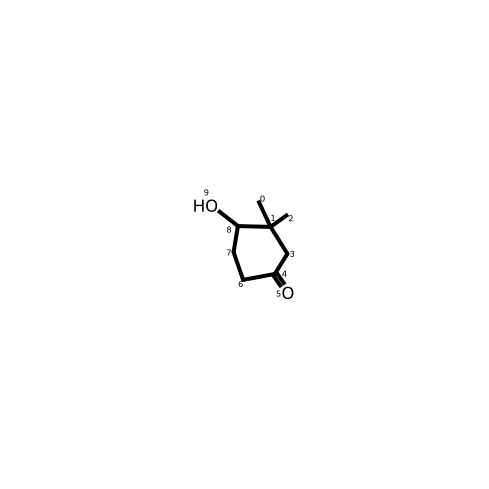 CC1(C)CC(=O)CCC1O